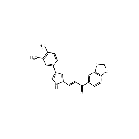 Cc1ccc(-c2cc(C=CC(=O)c3ccc4c(c3)OCO4)[nH]n2)cc1C